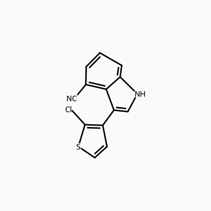 N#Cc1cccc2[nH]cc(-c3ccsc3Cl)c12